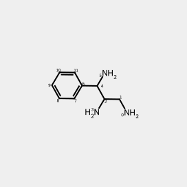 NCC(N)C(N)c1ccccc1